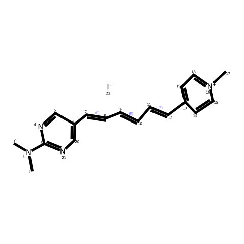 CN(C)c1ncc(/C=C/C=C/C=C/c2cc[n+](C)cc2)cn1.[I-]